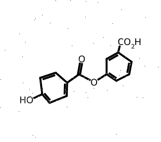 O=C(O)c1cccc(OC(=O)c2ccc(O)cc2)c1